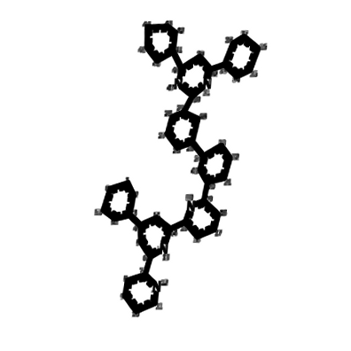 c1ccc(-c2cc(-c3ccccn3)nc(-c3cccc(-c4cccc(-c5cccc(-c6nc(-c7ccccc7)cc(-c7ccccc7)n6)c5)c4)n3)c2)cc1